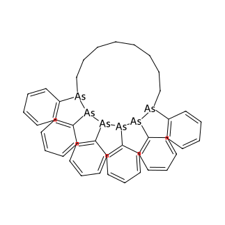 c1ccc([As]2CCCCCCCC[As](c3ccccc3)[As](c3ccccc3)[As](c3ccccc3)[As](c3ccccc3)[As]2c2ccccc2)cc1